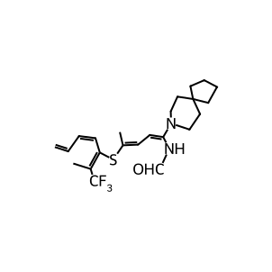 C=C/C=C\C(S/C(C)=C/C=C(\NC=O)N1CCC2(CCCC2)CC1)=C(/C)C(F)(F)F